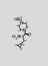 [CH2]CCCN1CCN(C(=O)[C@@H](N)CC2CC2)CC1